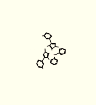 CC1=[C]([Hf+2]([C]2=C(C)C(c3cccc(F)c3)=CC2C)=[Si](c2ccccc2)c2ccccc2)C(C)C=C1c1cccc(F)c1.[Cl-].[Cl-]